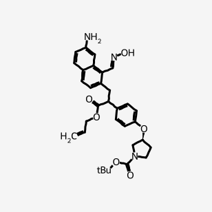 C=CCOC(=O)C(Cc1ccc2ccc(N)cc2c1C=NO)c1ccc(O[C@H]2CCN(C(=O)OC(C)(C)C)C2)cc1